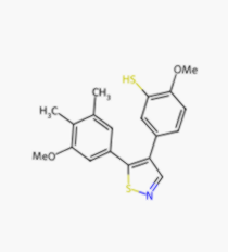 COc1ccc(-c2cnsc2-c2cc(C)c(C)c(OC)c2)cc1S